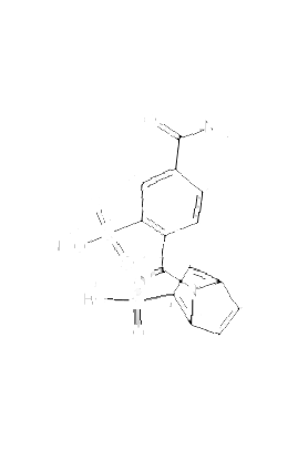 NC(=O)c1ccc(C(=O)n2c3ccc2c(S(=O)(=O)O)c3)c(S(=O)(=O)O)c1